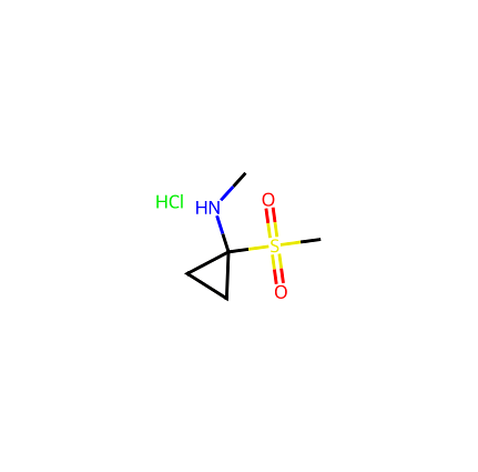 CNC1(S(C)(=O)=O)CC1.Cl